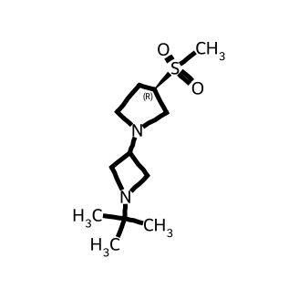 CC(C)(C)N1CC(N2CC[C@@H](S(C)(=O)=O)C2)C1